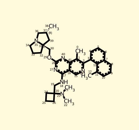 Cc1c(-c2cccc3cccc(C)c23)ncc2c(NCC3(N(C)C)CCC3)nc(OC[C@@]34CCCN3C[C@H](C)C4)nc12